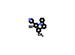 Cc1cccc(-c2cccc3c4ccccc4n(-c4ccc(C#N)c(-c5ccncc5)c4)c23)c1